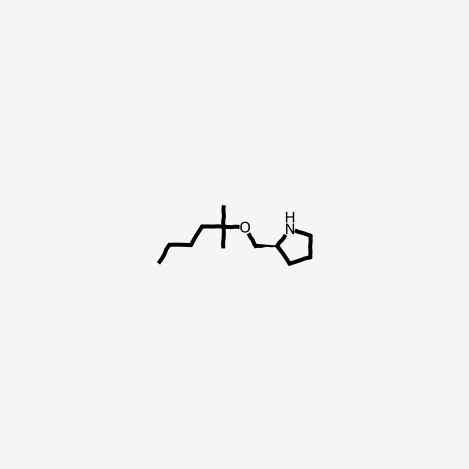 CCCCC(C)(C)OC[C@@H]1CCCN1